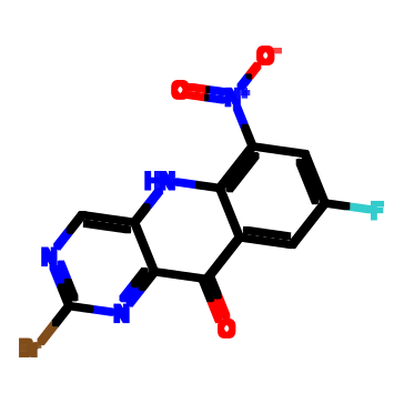 O=c1c2cc(F)cc([N+](=O)[O-])c2[nH]c2cnc(Br)nc12